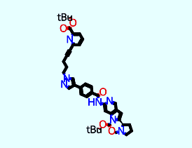 CN1CCC[C@@H]1c1cc2cnc(NC(=O)c3ccc(-c4cnn(CCCC#Cc5cccc(C(=O)OC(C)(C)C)n5)c4)cc3)cc2n1C(=O)OC(C)(C)C